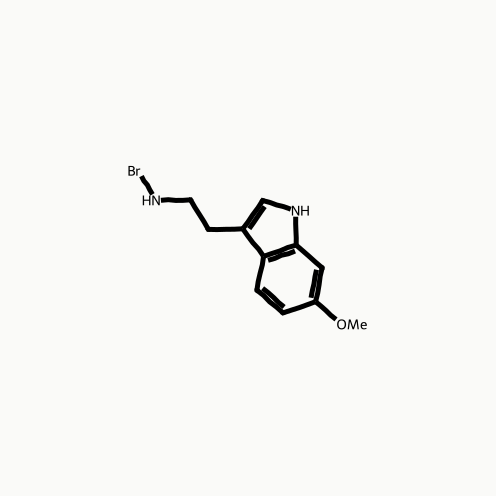 COc1ccc2c(CCNBr)c[nH]c2c1